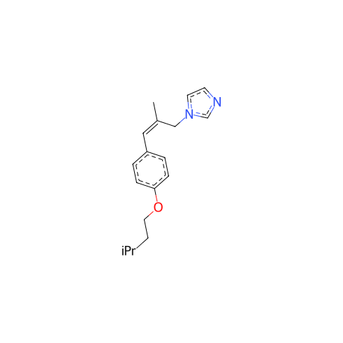 CC(=Cc1ccc(OCCC(C)C)cc1)Cn1ccnc1